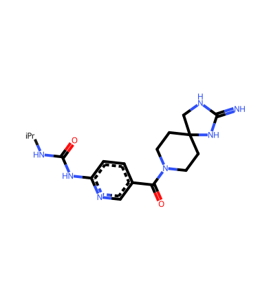 CC(C)NC(=O)Nc1ccc(C(=O)N2CCC3(CC2)CNC(=N)N3)cn1